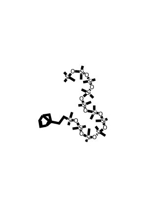 C[Si](C)(C)O[Si](C)(C)O[Si](C)(C)O[Si](C)(C)O[Si](C)(C)O[Si](C)(C)O[Si](C)(C)O[Si](C)(C)O[Si](C)(C)O[Si](C)(C)O[Si](C)(C)CCC1CC2C=CC1C2